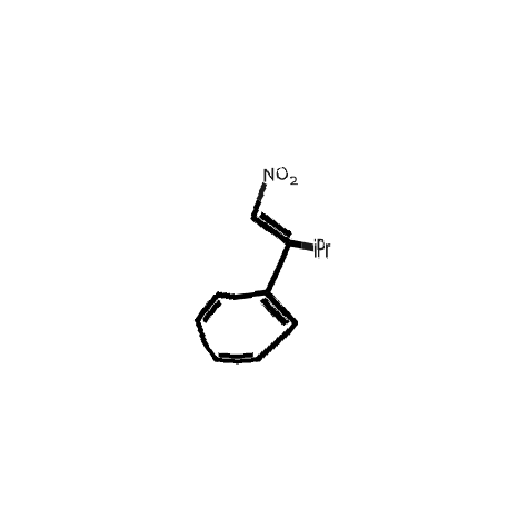 CC(C)C(=C[N+](=O)[O-])c1ccccc1